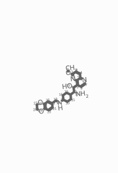 COc1ccc2nccc([C@@H](O)[C@H](N)C3CCC(NCc4ccc5c(c4)OCCO5)CC3)c2n1